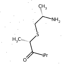 CC(C)C(=O)[C@H](C)SC[C@H](C)N